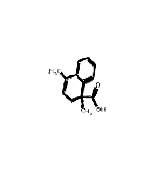 CC1=CCC(C)(C(=O)O)c2ccccc21